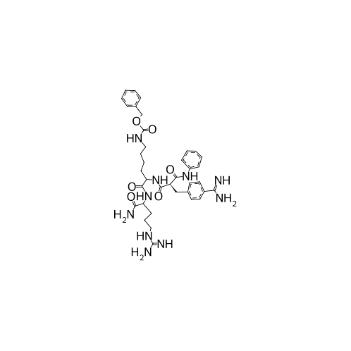 N=C(N)NCCCC(NC(=O)C(CCCCNC(=O)OCc1ccccc1)NC(=O)[C@H](Cc1ccc(C(=N)N)cc1)C(=O)Nc1ccccc1)C(N)=O